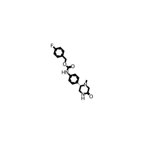 CN1CC(=O)NC[C@@H]1c1ccc(NC(=O)OCc2ccc(F)cc2)cc1